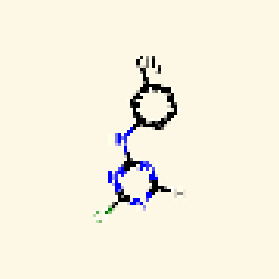 [3H]c1nc(Cl)nc(Nc2cccc(C)c2)n1